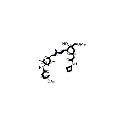 COCC1C[C@@H](CC(=O)NC2CCC2)OC(/C=C/C(C)=C/C[C@@H]2O[C@H](C)[C@H](NC(=O)/C=C\[C@H](C)OC(C)=O)C[C@@H]2C)[C@H]1O